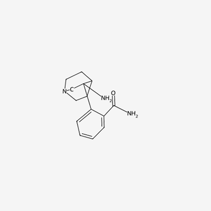 NC(=O)c1ccccc1C1(N)CN2CCC1CC2